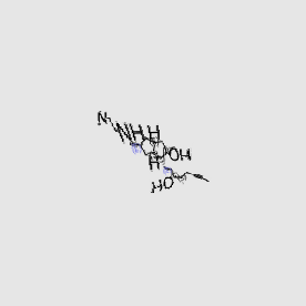 CC#CC[C@H](C)[C@H](O)/C=C/[C@@H]1[C@H]2C/C(=C/NCCN(C)C)C[C@H]2C[C@H]1O